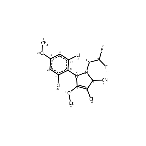 CCOC1=C(Cl)C(C#N)N(SC(F)F)N1c1c(Cl)cc(OC(F)(F)F)cc1Cl